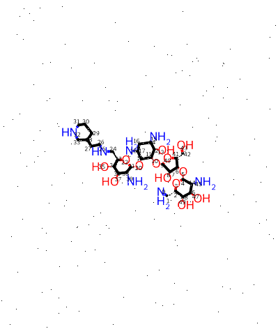 NC[C@@H]1O[C@H](O[C@H]2[C@@H](O)[C@H](O[C@@H]3[C@@H](O)[C@H](N)C[C@H](N)[C@H]3O[C@H]3O[C@H](CNCCC4CCCNC4)[C@@H](O)[C@H](O)[C@H]3N)O[C@@H]2CO)[C@H](N)[C@@H](O)[C@@H]1O